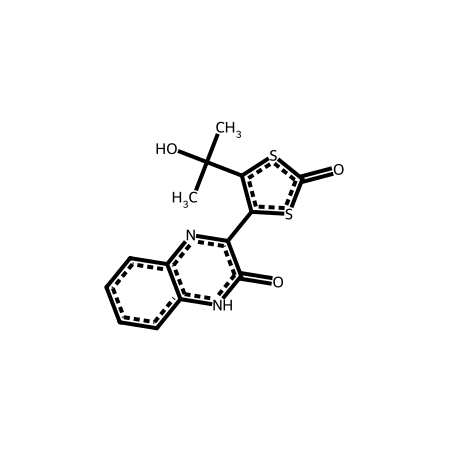 CC(C)(O)c1sc(=O)sc1-c1nc2ccccc2[nH]c1=O